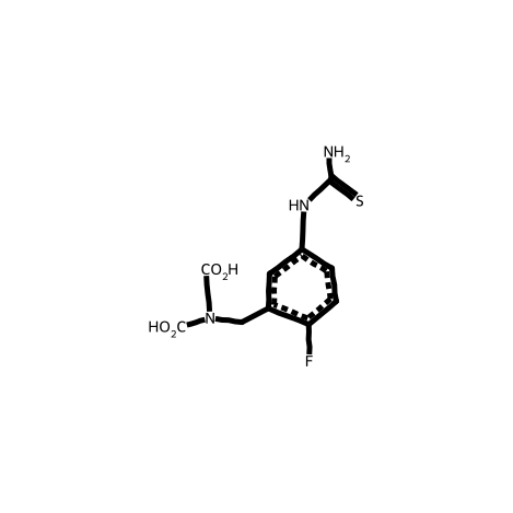 NC(=S)Nc1ccc(F)c(CN(C(=O)O)C(=O)O)c1